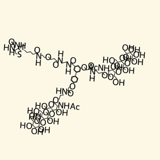 CC(=O)NC1C(O)[C@H](O[C@@H]2OC(CO)[C@H](O)C(O[C@H]3OC(CO)[C@H](O)C(O)C3O)C2O)C(CO)O[C@H]1OCCCNC(=O)COc1ccc(-c2cc(OCC(=O)NCCCO[C@@H]3OC(CO)[C@@H](O[C@@H]4OC(CO)[C@H](O)C(O[C@H]5OC(CO)[C@H](O)C(O)C5O)C4O)C(O)C3NC(C)=O)cc(C(=O)NCCNC(=O)CCOCCNC(=O)CCCC[C@@H]3SC[C@@H]4NC(=O)N[C@@H]43)c2)cc1